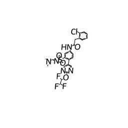 CN(C)C=NS(=O)(=O)c1cc(NC(=O)Cc2ccccc2Cl)ccc1-c1cnc(OC(F)C(F)F)nc1